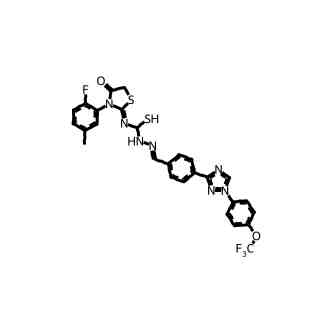 Cc1ccc(F)c(N2C(=O)CS/C2=N\C(S)N/N=C/c2ccc(-c3ncn(-c4ccc(OC(F)(F)F)cc4)n3)cc2)c1